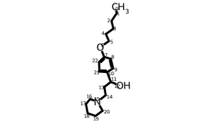 CCCCCCOc1ccc(C(O)CCN2CCCCC2)cc1